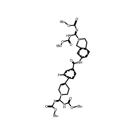 CC(C)(C)OC(=O)N=C(NC(=O)OC(C)(C)C)N1CC=C(c2ccc(C(=O)Nc3ccc4c(c3)CN(C(=NC(=O)OC(C)(C)C)NC(=O)OC(C)(C)C)CC4)cc2F)CC1